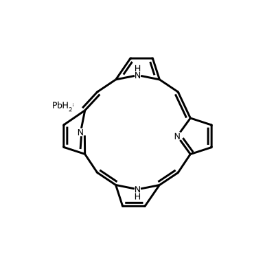 C1=Cc2cc3ccc(cc4nc(cc5ccc(cc1n2)[nH]5)C=C4)[nH]3.[PbH2]